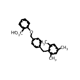 Cc1cc(C)c(Cc2ccc(COc3ccccc3C(=O)O)cc2)c(C)c1